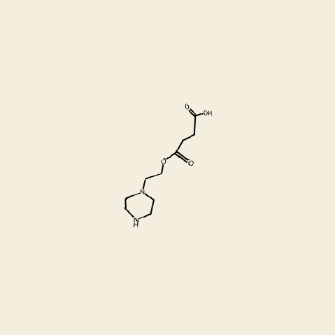 O=C(O)CCC(=O)OCCN1CCNCC1